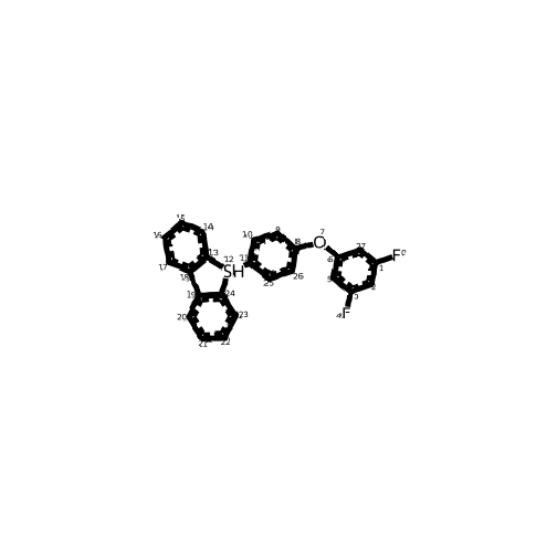 Fc1cc(F)cc(Oc2ccc([SH]3c4ccccc4-c4ccccc43)cc2)c1